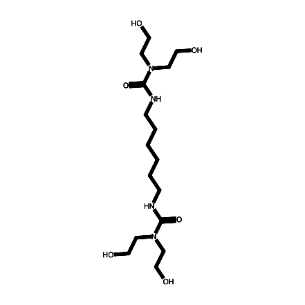 O=C(NCCCCCCNC(=O)N(CCO)CCO)N(CCO)CCO